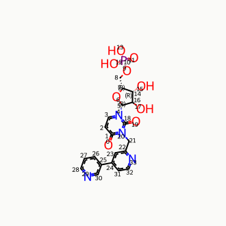 O=c1ccn([C@@H]2O[C@H](COP(=O)(O)O)[C@H](O)C2O)c(=O)n1Cc1cc(-c2cccnc2)ccn1